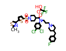 Cc1nc(-c2ccc(S(=O)(=O)N3CCC(C(=O)N(CCCN4CCC(Cc5ccc(F)cc5)CC4)c4ccc(Cl)c(Cl)c4)CC3)s2)cs1.O=C(O)C(F)(F)F